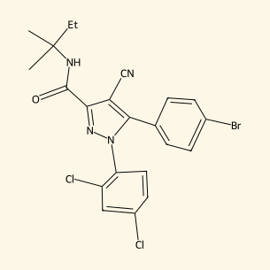 CCC(C)(C)NC(=O)c1nn(-c2ccc(Cl)cc2Cl)c(-c2ccc(Br)cc2)c1C#N